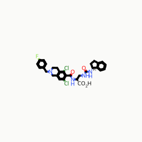 O=C(NC[C@H](NC(=O)c1c(Cl)cc2c(c1Cl)CCN(Cc1ccc(F)cc1)C2)C(=O)O)N[C@@H]1CCc2ccccc21